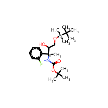 CC(C)(C)OC(=O)N[C@](C)(c1ccccc1F)C(O)CO[Si](C)(C)C(C)(C)C